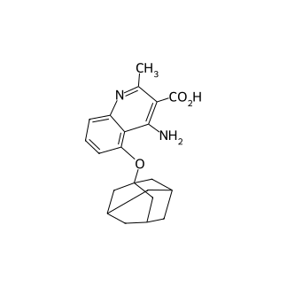 Cc1nc2cccc(OC34CC5CC(CC(C5)C3)C4)c2c(N)c1C(=O)O